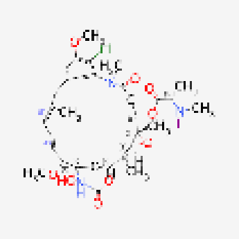 COc1cc2cc(c1Cl)N(C)C(=O)C[C@H](OC(=O)[C@H](C)N(C)I)[C@]1(C)O[C@H]1[C@H](C)[C@@H]1C[C@@](O)(NC(=O)O1)[C@H](OC)/C=C/C=C(\C)C2